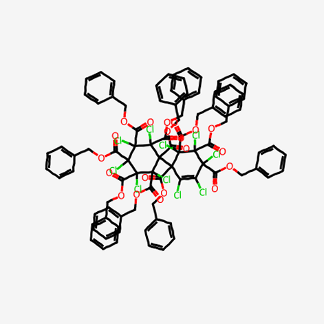 O=C(OCc1ccccc1)C1(Cl)C(Cl)=C(Cl)C(C(=O)OCc2ccccc2)(C2(C(=O)OCc3ccccc3)C(Cl)(C(=O)OCc3ccccc3)C(Cl)(C(=O)OCc3ccccc3)C(Cl)(C(=O)OCc3ccccc3)C(Cl)(C(=O)OCc3ccccc3)C2(Cl)C(=O)OCc2ccccc2)C(Cl)(C(=O)OCc2ccccc2)C1(Cl)C(=O)OCc1ccccc1